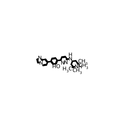 CC1(C)CC(Nc2ccc(-c3ccc(-c4ccn5ccnc5c4)cc3O)nn2)CC(C)(C)N1